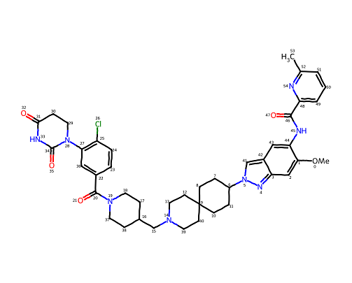 COc1cc2nn(C3CCC4(CC3)CCN(CC3CCN(C(=O)c5ccc(Cl)c(N6CCC(=O)NC6=O)c5)CC3)CC4)cc2cc1NC(=O)c1cccc(C)n1